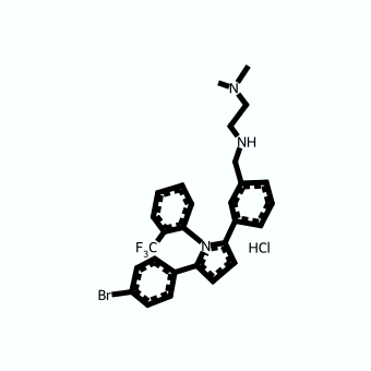 CN(C)CCNCc1cccc(-c2ccc(-c3ccc(Br)cc3)n2-c2ccccc2C(F)(F)F)c1.Cl